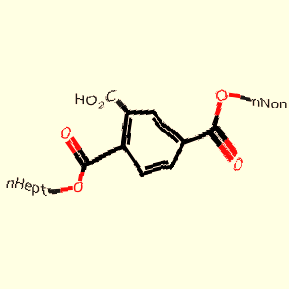 CCCCCCCCCOC(=O)c1ccc(C(=O)OCCCCCCC)c(C(=O)O)c1